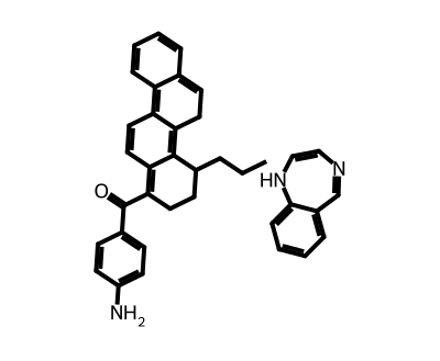 C1=CNc2ccccc2C=N1.CCCC1CCC(C(=O)c2ccc(N)cc2)=c2ccc3c(c21)CC=c1ccccc1=3